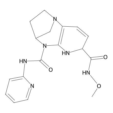 CONC(=O)C1C=CC2=C(N1)N(C(=O)Nc1ccccn1)C1CCN2C1